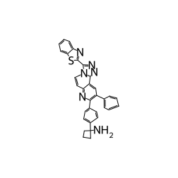 NC1(c2ccc(-c3nc4ccn5c(-c6nc7ccccc7s6)nnc5c4cc3-c3ccccc3)cc2)CCC1